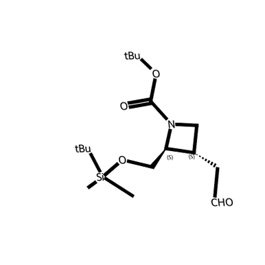 CC(C)(C)OC(=O)N1C[C@H](CC=O)[C@H]1CO[Si](C)(C)C(C)(C)C